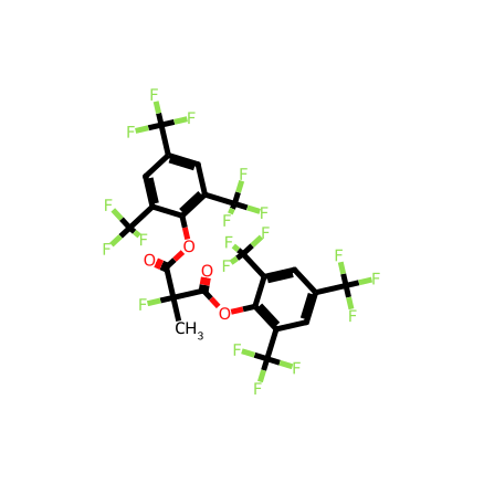 CC(F)(C(=O)Oc1c(C(F)(F)F)cc(C(F)(F)F)cc1C(F)(F)F)C(=O)Oc1c(C(F)(F)F)cc(C(F)(F)F)cc1C(F)(F)F